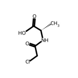 C[C@H](NC(=O)CCl)C(=O)O